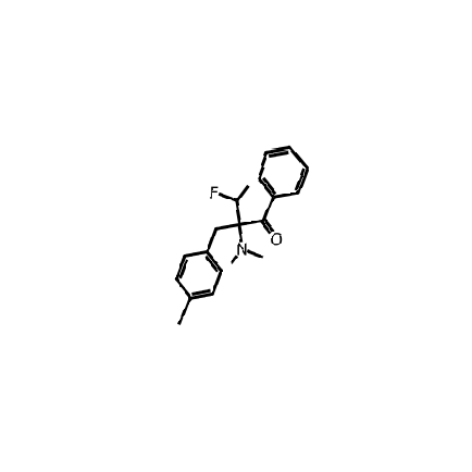 Cc1ccc(CC(C(=O)c2ccccc2)(C(C)F)N(C)C)cc1